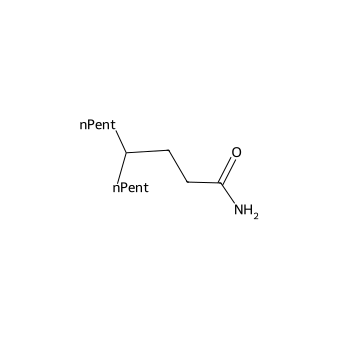 CCCCCC(CCCCC)CCC(N)=O